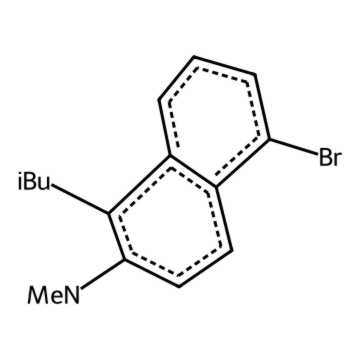 CCC(C)c1c(NC)ccc2c(Br)cccc12